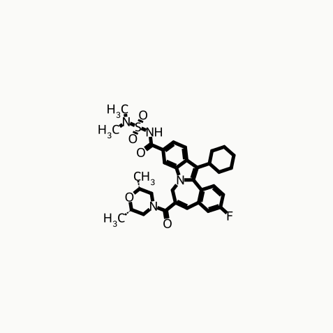 C[C@@H]1CN(C(=O)C2=Cc3cc(F)ccc3-c3c(C4CCCCC4)c4ccc(C(=O)NS(=O)(=O)N(C)C)cc4n3C2)C[C@H](C)O1